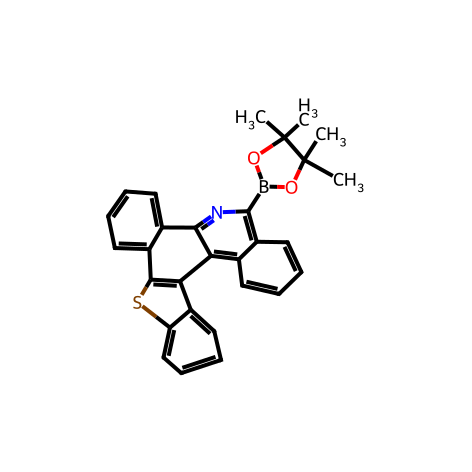 CC1(C)OB(c2nc3c4ccccc4c4sc5ccccc5c4c3c3ccccc23)OC1(C)C